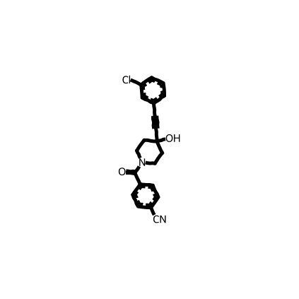 N#Cc1ccc(C(=O)N2CCC(O)(C#Cc3cccc(Cl)c3)CC2)cc1